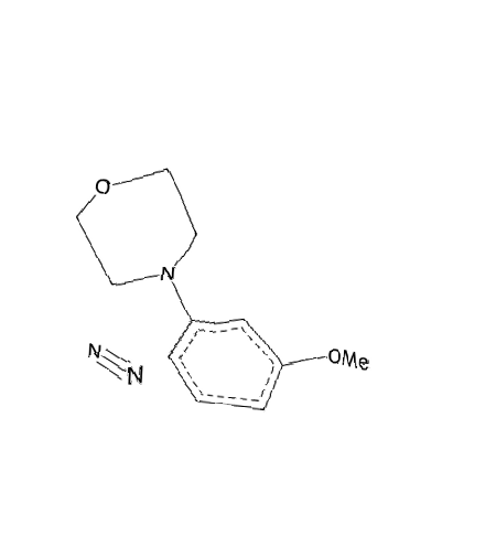 COc1cccc(N2CCOCC2)c1.N#N